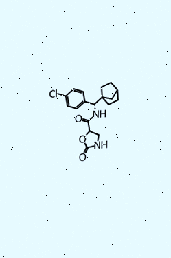 O=C1NCC(C(=O)N[C@H](c2ccc(Cl)cc2)C23CCC(CC2)C3)O1